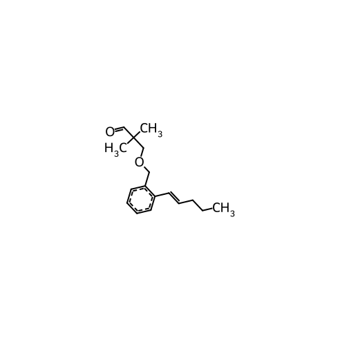 CCCC=Cc1ccccc1COCC(C)(C)C=O